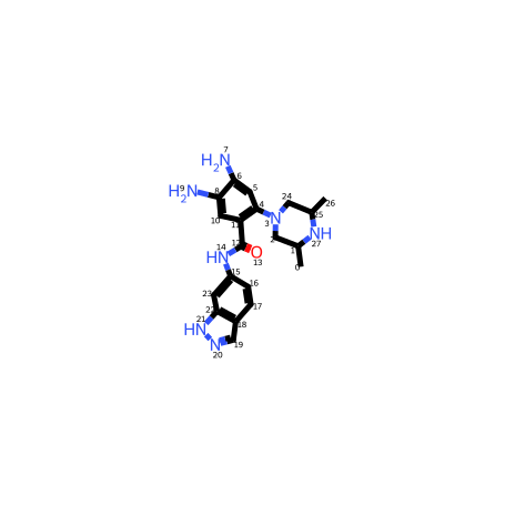 CC1CN(c2cc(N)c(N)cc2C(=O)Nc2ccc3cn[nH]c3c2)CC(C)N1